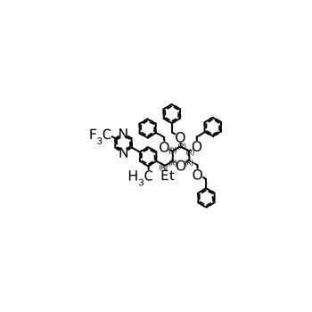 CC[C@H](c1ccc(-c2cnc(C(F)(F)F)cn2)cc1C)[C@H]1O[C@H](COCc2ccccc2)[C@@H](OCc2ccccc2)[C@H](OCc2ccccc2)[C@@H]1OCc1ccccc1